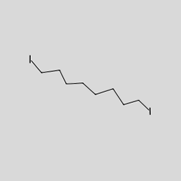 ICCCCCCCCI